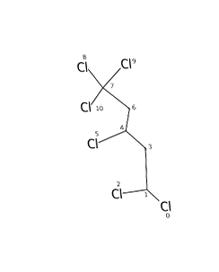 ClC(Cl)CC(Cl)CC(Cl)(Cl)Cl